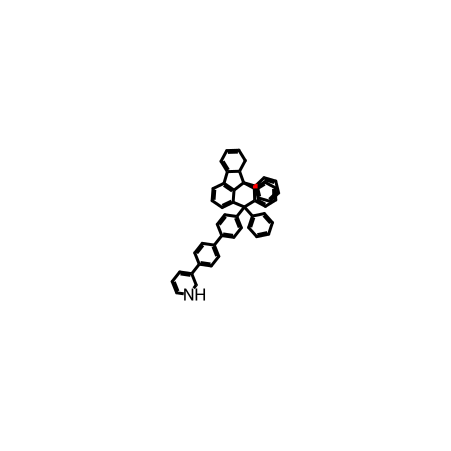 C1=CCC2C(=C1)c1cccc3c1C2(c1ccccc1)c1ccccc1C3(c1ccccc1)c1ccc(-c2ccc(C3=CC=CNC3)cc2)cc1